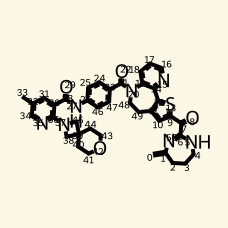 C=C1CCCNC(C(=O)c2cc3c(s2)-c2ncccc2N(C(=O)c2ccc(NC(=O)c4cc(C)cnc4N4CC5(CCOCC5)C4)cc2)CC3)=N1